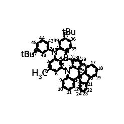 Cc1cc2c3c(c1)N1c4ccccc4C4(c5ccccc5-c5ccccc54)c4cccc(c41)B3c1ccc(C(C)(C)C)cc1N2c1cccc(C(C)(C)C)c1